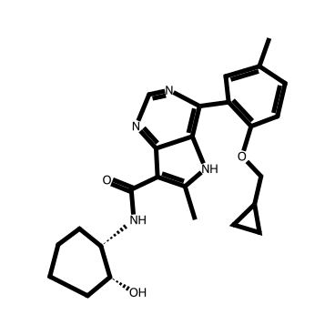 Cc1ccc(OCC2CC2)c(-c2ncnc3c(C(=O)N[C@H]4CCCC[C@H]4O)c(C)[nH]c23)c1